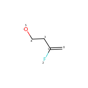 C=C(F)CC[O]